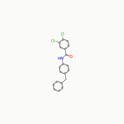 O=C(Nc1ccc(Cc2ccccc2)cc1)c1ccc(Cl)c(Cl)c1